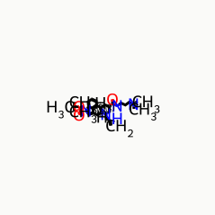 C=CCN1C[C@H](C(=O)NCCCN(C)C)C[C@@H]2c3cccc4c3c(cn4C(=O)OC(C)(C)C)C[C@H]21